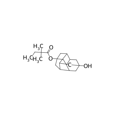 CCC(C)(C)C(=O)OC12CC3C4CC5(O)CC3C(C1)C(C5)C4C2